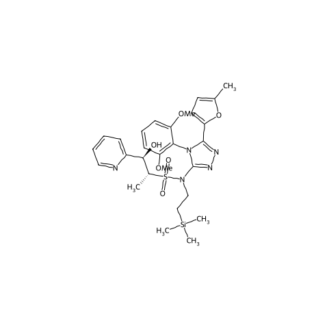 COc1cccc(OC)c1-n1c(-c2ccc(C)o2)nnc1N(CC[Si](C)(C)C)S(=O)(=O)[C@H](C)[C@H](O)c1ccccn1